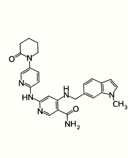 Cn1ccc2ccc(CNc3cc(Nc4ccc(N5CCCCC5=O)cn4)ncc3C(N)=O)cc21